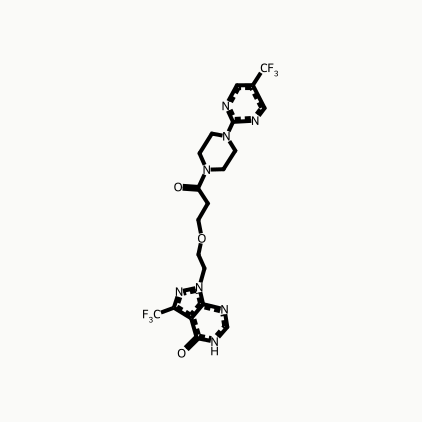 O=C(CCOCCn1nc(C(F)(F)F)c2c(=O)[nH]cnc21)N1CCN(c2ncc(C(F)(F)F)cn2)CC1